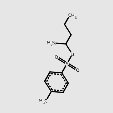 CCCC(N)OS(=O)(=O)c1ccc(C)cc1